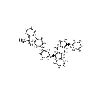 CC1(C)c2ccccc2-c2ccc(-c3cccc(-n4c5ccccc5c5cc6c(ccn6-c6ccccc6)cc54)c3)cc21